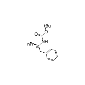 CCC[C@H](Cc1ccccc1)NC(=O)OC(C)(C)C